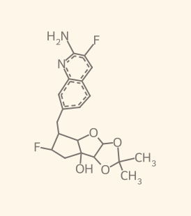 CC1(C)OC2OC3C(Cc4ccc5cc(F)c(N)nc5c4)C(F)CC3(O)C2O1